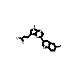 NC(=O)C=Cc1c[nH]c2ncc(-c3cnc4ccc(F)cc4c3)nc12